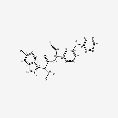 Cc1ccc2c(C(C(=O)OC(C#N)c3cccc(Oc4ccccc4)c3)C(C)C)scc2c1